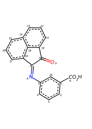 O=C(O)c1cccc(/N=C2\C(=O)c3cccc4cccc2c34)c1